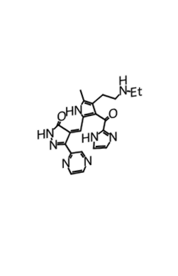 CCNCCc1c(C)[nH]c(C=C2C(=O)NN=C2c2cnccn2)c1C(=O)c1ncc[nH]1